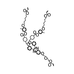 C=CC(=O)OCCCCCCOc1ccc(OC(=O)C2CCC(COc3cccc(-c4nc5ccc(OCCOCCOC(=O)C=C)cc5nc4-c4cccc(OCC5CCC(C(=O)Oc6ccc(OCCCCCCOC(=O)C=C)c(C)c6)CC5)c4)c3)CC2)cc1C